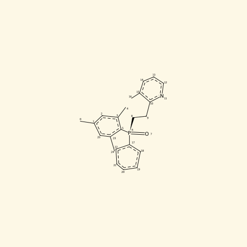 Cc1cc(C)c([P@@](=O)(CCc2ncccc2C)c2ccccc2)c(C)c1